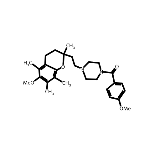 COc1ccc(C(=O)N2CCN(CCC3(C)CCc4c(C)c(OC)c(C)c(C)c4O3)CC2)cc1